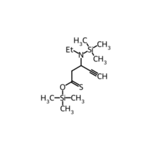 C#CC(CC(=S)O[Si](C)(C)C)N(CC)[Si](C)(C)C